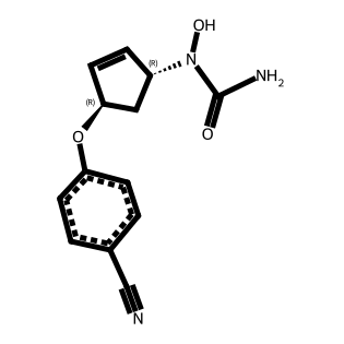 N#Cc1ccc(O[C@H]2C=C[C@H](N(O)C(N)=O)C2)cc1